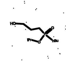 CCCCP(=O)(CCCO)OC(C)C